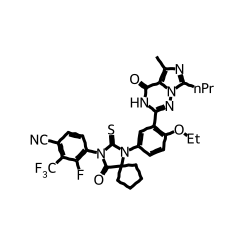 CCCc1nc(C)c2c(=O)[nH]c(-c3cc(N4C(=S)N(c5ccc(C#N)c(C(F)(F)F)c5F)C(=O)C45CCCC5)ccc3OCC)nn12